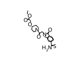 CCOC(=O)COC1CCN(C(=O)CN2Cc3cc(C(N)=S)ccc3C2=O)CC1